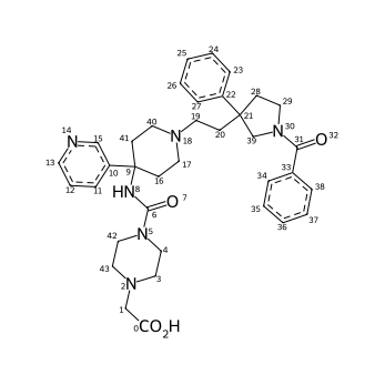 O=C(O)CN1CCN(C(=O)NC2(c3cccnc3)CCN(CCC3(c4ccccc4)CCN(C(=O)c4ccccc4)C3)CC2)CC1